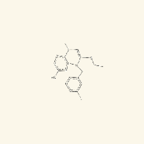 CCSC1=CC(C)c2ccc(O)cc2N1Cc1cccc(F)c1